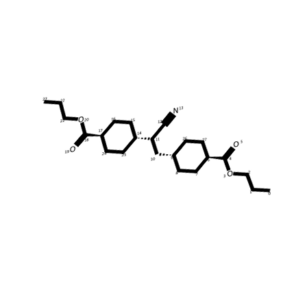 CCCOC(=O)[C@H]1CC[C@H](CC(C#N)[C@H]2CC[C@H](C(=O)OCCC)CC2)CC1